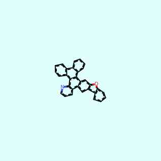 c1ccc2c(c1)oc1cc3c(cc12)c1cccnc1c1c2ccccc2c2ccccc2c31